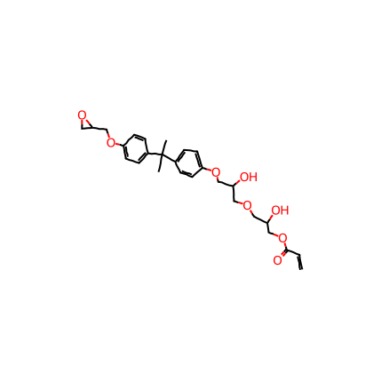 C=CC(=O)OCC(O)COCC(O)COc1ccc(C(C)(C)c2ccc(OCC3CO3)cc2)cc1